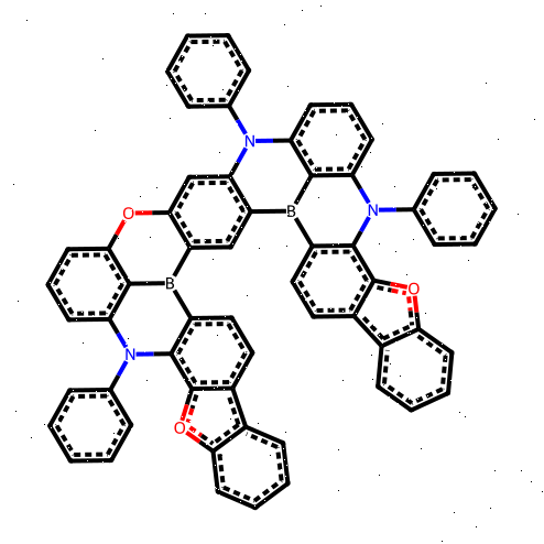 c1ccc(N2c3cc4c(cc3B3c5ccc6c(oc7ccccc76)c5N(c5ccccc5)c5cccc2c53)B2c3ccc5c(oc6ccccc65)c3N(c3ccccc3)c3cccc(c32)O4)cc1